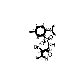 Cc1ccc(N(C)C)c(S(=O)(=O)Nc2onc(C)c2Br)c1